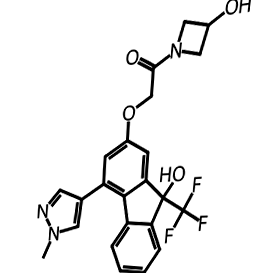 Cn1cc(-c2cc(OCC(=O)N3CC(O)C3)cc3c2-c2ccccc2C3(O)C(F)(F)F)cn1